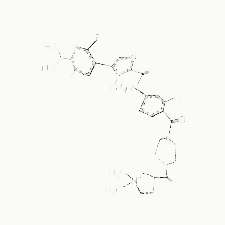 CN(C)c1nc(F)c(-c2cnc(C(=O)Nc3ccc(C(=O)N4CCN(C(=O)C5CC[N+](C)(C)C5)CC4)c(Cl)c3)n2C)cc1F